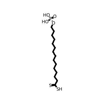 O=P(O)(O)OCCCCCCCCCCCCCCC(=S)S